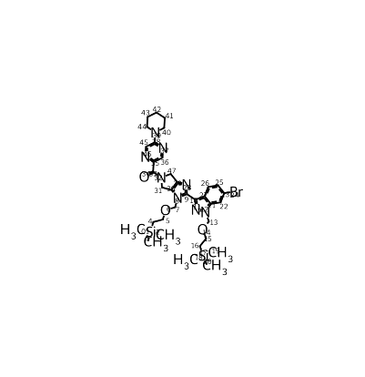 C[Si](C)(C)CCOCn1c(-c2nn(COCC[Si](C)(C)C)c3cc(Br)ccc23)nc2c1CN(C(=O)c1cnc(N3CCCCC3)cn1)C2